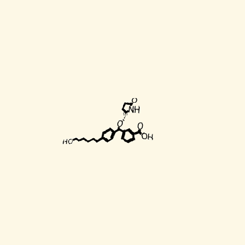 O=C1CC[C@@H](COC(c2ccc(CCCCCCO)cc2)c2cccc(C(=O)O)c2)N1